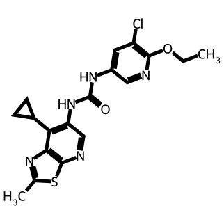 CCOc1ncc(NC(=O)Nc2cnc3sc(C)nc3c2C2CC2)cc1Cl